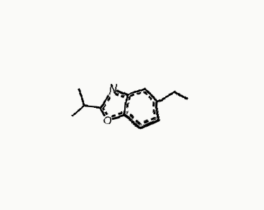 CCc1ccc2oc(C(C)C)nc2c1